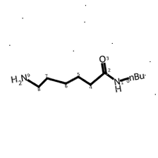 CCC[CH]NC(=O)CCCCCN